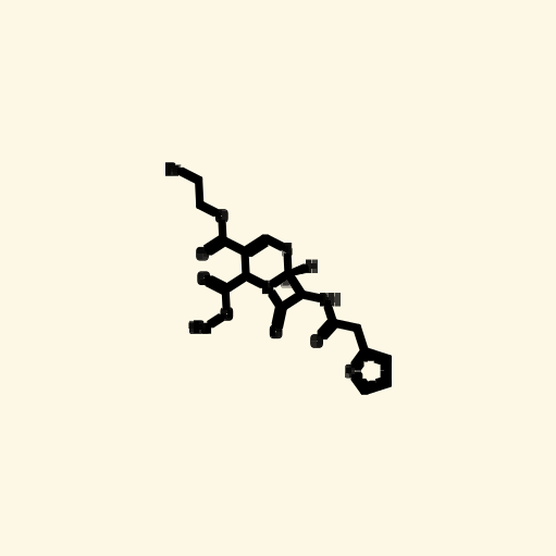 CC(C)(C)OC(=O)C1C(C(=O)OCCBr)=CS[C@@H]2C(NC(=O)Cc3cccs3)C(=O)N12